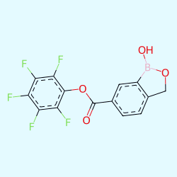 O=C(Oc1c(F)c(F)c(F)c(F)c1F)c1ccc2c(c1)B(O)OC2